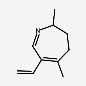 C=CC1=C(C)CCC(C)N=C1